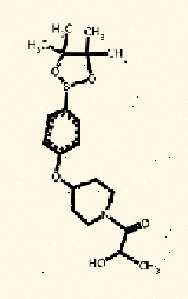 CC(O)C(=O)N1CCC(Oc2ccc(B3OC(C)(C)C(C)(C)O3)cc2)CC1